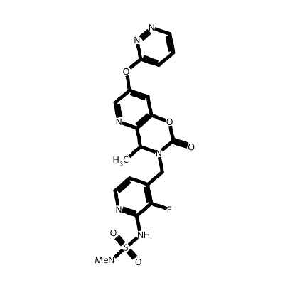 CNS(=O)(=O)Nc1nccc(CN2C(=O)Oc3cc(Oc4cccnn4)cnc3C2C)c1F